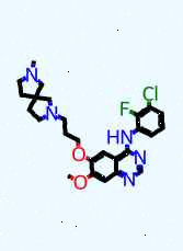 COc1cc2ncnc(Nc3cccc(Cl)c3F)c2cc1OCCCN1CCC2(CCN(C)C2)C1